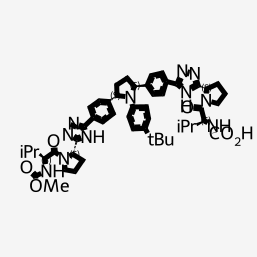 COC(=O)N[C@H](C(=O)N1CCC[C@H]1c1nnc(-c2ccc([C@@H]3CC[C@@H](c4ccc(-c5nnc([C@@H]6CCCN6C(=O)[C@@H](NC(=O)O)C(C)C)[nH]5)cc4)N3c3ccc(C(C)(C)C)cc3)cc2)[nH]1)C(C)C